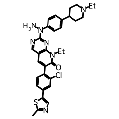 CCN1CCC(c2ccc(N(N)c3ncc4cc(-c5ccc(-c6cnc(C)s6)cc5Cl)c(=O)n(CC)c4n3)cc2)CC1